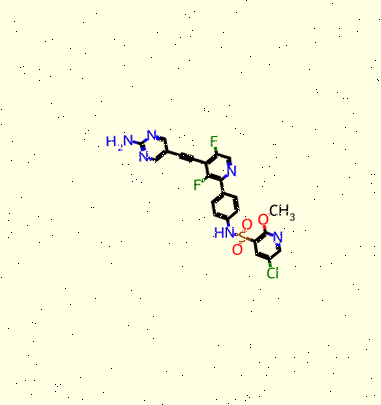 COc1ncc(Cl)cc1S(=O)(=O)Nc1ccc(-c2ncc(F)c(C#Cc3cnc(N)nc3)c2F)cc1